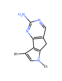 CCn1cc(C(C)C)c2c1Cc1cnc(N)nc1-2